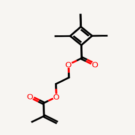 C=C(C)C(=O)OCCOC(=O)C1=C(C)C(C)=C1C